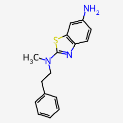 CN(CCc1ccccc1)c1nc2ccc(N)cc2s1